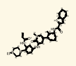 C=CC(=O)Nc1cc(Nc2cc(-c3cccc(NC(=O)c4cc5ccccc5s4)c3C)cn(C)c2=O)ccc1N1CCN(CC)CC1